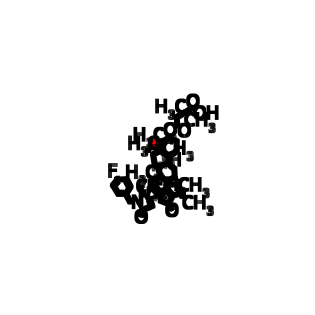 CC(C)C1=C2[C@H]3CC[C@@H]4[C@@]5(C)CC[C@H](OC(=O)CC(C)(C)C(=O)O)C(C)(C)[C@@H]5CC[C@@]4(C)[C@]3(C)CC[C@@]2(c2cc(=O)n(Cc3ccc(F)cc3)n2C)CC1=O